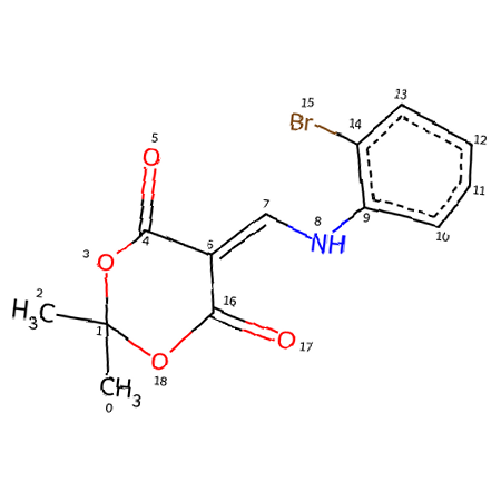 CC1(C)OC(=O)C(=CNc2ccccc2Br)C(=O)O1